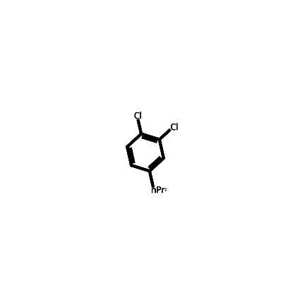 C[CH][C]c1ccc(Cl)c(Cl)c1